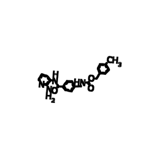 Cc1ccc(COC(=O)NCc2ccc(C(=O)Nc3cccnc3N)cc2)cc1